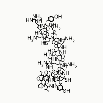 CC[C@H](C)[C@H](NC(=O)[C@@H]1CCCN1C(=O)[C@@H](N)C(C)C)C(=O)N[C@H](C(=O)N[C@@H](Cc1ccc(O)cc1)C(=O)N[C@H](C(=O)N[C@@H](CC(N)=O)C(=O)N[C@@H](CCCNC(=N)N)C(=O)N[C@@H](CCN)C(=O)N[C@H](C(=O)N[C@H](CCN)C(=O)N[C@@H](CCCCN)C(=O)N[C@@H](CS)C(=O)N[C@@H](CCN)C(=O)N[C@@H](CCCNC(=N)N)C(=O)N[C@@H](Cc1ccc(O)cc1)C(=O)O)[C@@H](C)O)C(C)(C)S)[C@@H](C)O